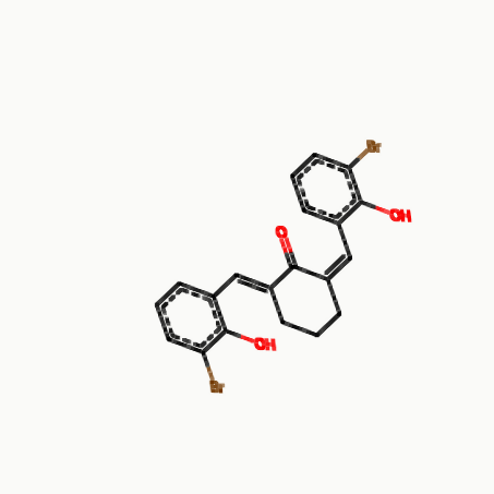 O=C1/C(=C\c2cccc(Br)c2O)CCC/C1=C\c1cccc(Br)c1O